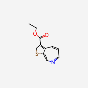 CCOC(=O)C1=C2C=CC=NC=C2SC1